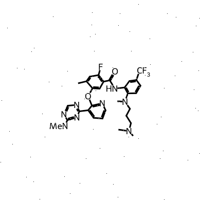 CNc1ncnc(-c2cccnc2Oc2cc(C(=O)Nc3cc(C(F)(F)F)ccc3N(C)CCCN(C)C)c(F)cc2C)n1